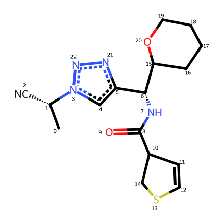 C[C@H](C#N)n1cc([C@@H](NC(=O)C2C=CSC2)C2CCCCO2)nn1